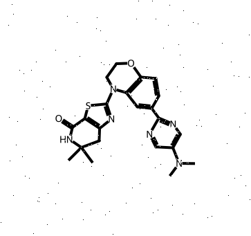 CN(C)c1cnc(-c2ccc3c(c2)N(c2nc4c(s2)C(=O)NC(C)(C)C4)CCO3)nc1